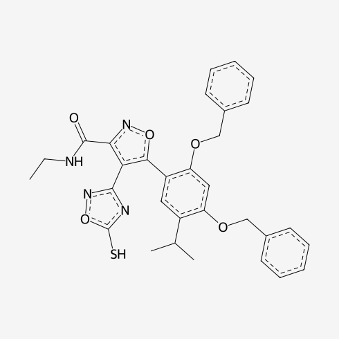 CCNC(=O)c1noc(-c2cc(C(C)C)c(OCc3ccccc3)cc2OCc2ccccc2)c1-c1noc(S)n1